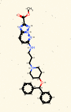 COC(=O)c1nc2ccc(NCCCN3CCC(OC(c4ccccc4)c4ccccc4)CC3)nn2n1